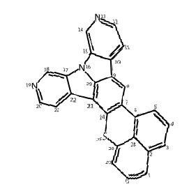 c1cc2cccc3c4cc5c6ccncc6n6c7cnccc7c(c4sc(c1)c23)c56